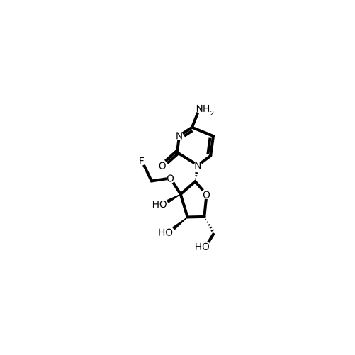 Nc1ccn([C@@H]2O[C@H](CO)[C@@H](O)[C@]2(O)OCF)c(=O)n1